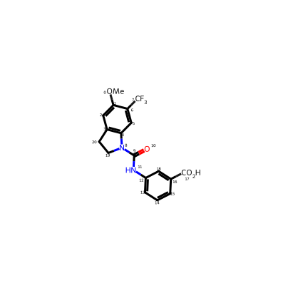 COc1cc2c(cc1C(F)(F)F)N(C(=O)Nc1cccc(C(=O)O)c1)CC2